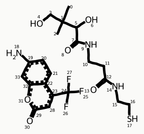 CC(C)(CO)C(O)C(=O)NCCC(=O)NCCS.Nc1ccc2c(C(F)(F)F)cc(=O)oc2c1